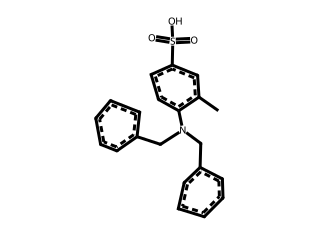 Cc1cc(S(=O)(=O)O)ccc1N(Cc1ccccc1)Cc1ccccc1